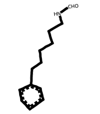 O=CNCCCCCCc1ccccc1